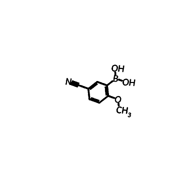 COc1ccc(C#N)cc1B(O)O